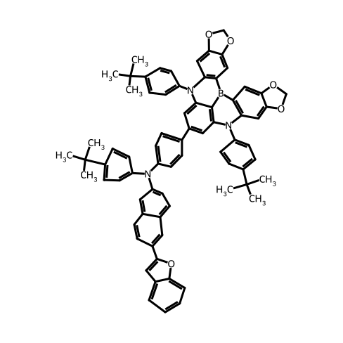 CC(C)(C)c1ccc(N(c2ccc(-c3cc4c5c(c3)N(c3ccc(C(C)(C)C)cc3)c3cc6c(cc3B5c3cc5c(cc3N4c3ccc(C(C)(C)C)cc3)OCO5)OCO6)cc2)c2ccc3cc(-c4cc5ccccc5o4)ccc3c2)cc1